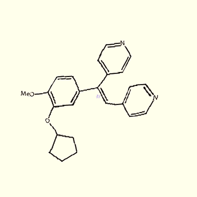 COc1ccc(/C(=C/c2ccncc2)c2ccncc2)cc1OC1CCCC1